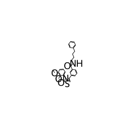 COc1cccc(-n2c(-c3cccc(C(=O)NCCCCc4ccccc4)c3)csc2=O)c1OC